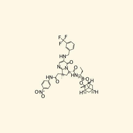 CC[C@H](NC(=O)[C@@H]1C[C@@](C)(CC(=O)Nc2ccc([N+](=O)[O-])cc2)c2ncc(NCc3cccc(C(F)(F)F)c3)c(=O)n21)B1O[C@@H]2C[C@@H]3C[C@@H](C3(C)C)[C@]2(C)O1